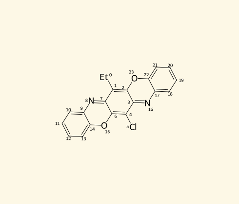 CCc1c2c(c(Cl)c3c1=Nc1ccccc1O3)=Nc1ccccc1O2